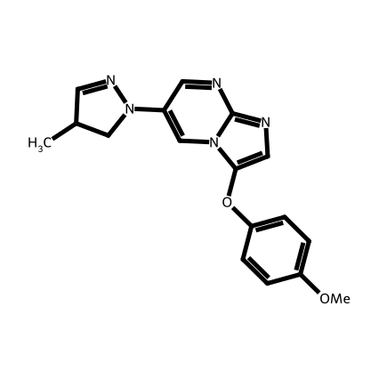 COc1ccc(Oc2cnc3ncc(N4CC(C)C=N4)cn23)cc1